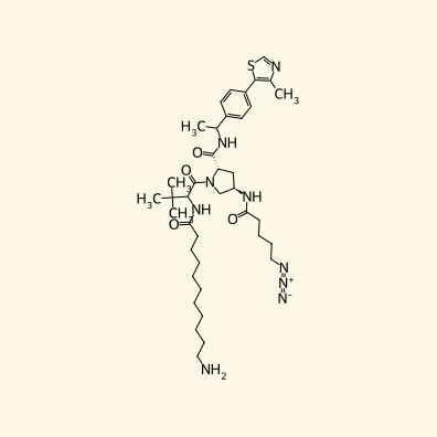 Cc1ncsc1-c1ccc(C(C)NC(=O)[C@@H]2C[C@@H](NC(=O)CCCCN=[N+]=[N-])CN2C(=O)C(NC(=O)CCCCCCCCCCN)C(C)(C)C)cc1